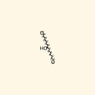 O=CCCCCCCC(O)CCCCCCC=O